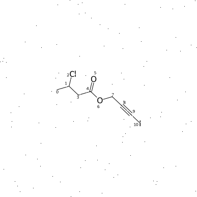 CC(Cl)CC(=O)OCC#CI